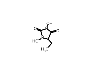 CCC1C(=O)N(O)C(=O)N1O